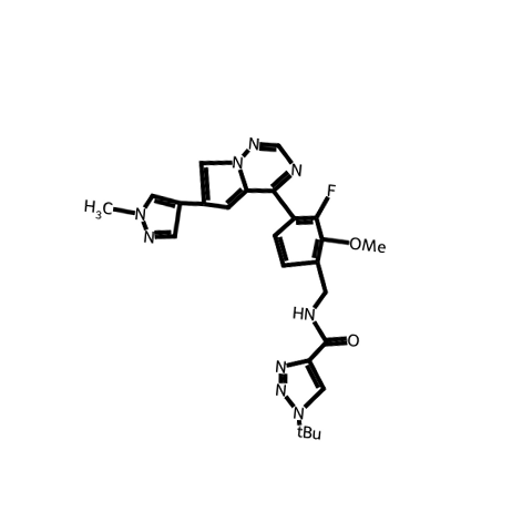 COc1c(CNC(=O)c2cn(C(C)(C)C)nn2)ccc(-c2ncnn3cc(-c4cnn(C)c4)cc23)c1F